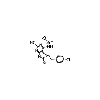 C[C@@H](Nc1nc(C#N)nc2nc(Br)n(CCc3ccc(Cl)cc3)c12)C1CC1